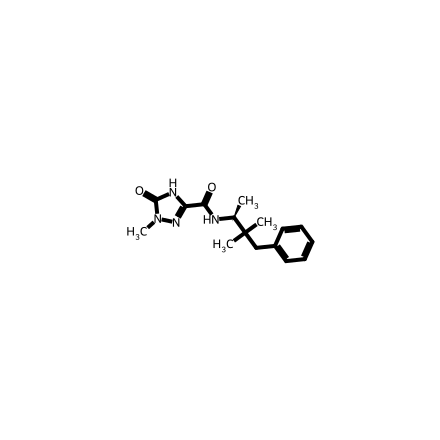 C[C@H](NC(=O)c1nn(C)c(=O)[nH]1)C(C)(C)Cc1ccccc1